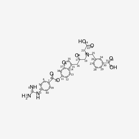 N=C(N)Nc1ccc(C(=O)Oc2ccc3c(CC(=O)CN(CC(=O)O)Cc4cccc(C(=O)O)c4)coc3c2)cc1